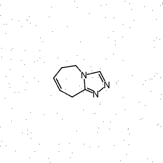 C1=CCc2nncn2CC1